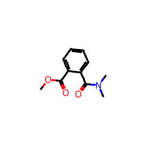 COC(=O)c1ccccc1C(=O)N(C)C